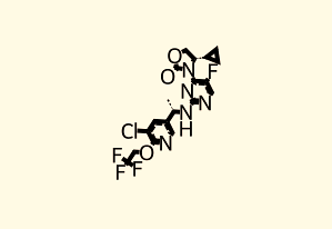 C[C@H](Nc1ncc(F)c(N2C(=O)OC[C@@H]2C2CC2)n1)c1cnc(OCC(F)(F)F)c(Cl)c1